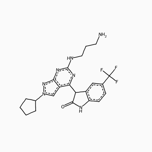 NCCCNc1nc(C2C(=O)Nc3ccc(C(F)(F)F)cc32)c2cn(C3CCCC3)nc2n1